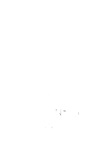 O=[N+]([O-])S[CH]c1ccccc1